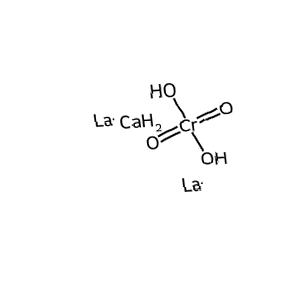 [CaH2].[La].[La].[O]=[Cr](=[O])([OH])[OH]